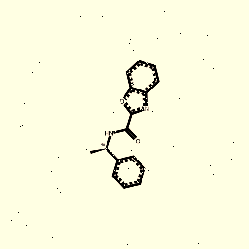 C[C@@H](NC(=O)c1nc2ccccc2o1)c1ccccc1